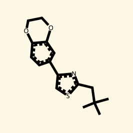 CC(C)(C)Cc1nc(-c2ccc3c(c2)OCCO3)cs1